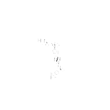 CC(C(N)=O)C1CN(c2ccc(-c3cnc(N4CCN(C(=O)c5ccc(C(F)(F)F)cc5)CC4)nc3)c(F)c2)C(=O)O1